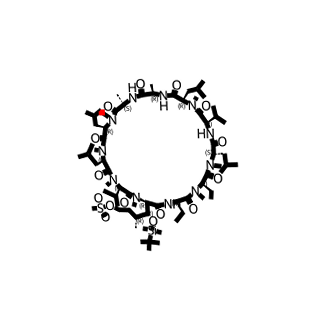 CC[C@@H]1C(=O)N(C)[C@@H](CC(C)C)C(=O)N[C@H](C(C)C)C(=O)N(C)[C@H](CC(C)C)C(=O)N[C@H](C)C(=O)N[C@@H](C)C(=O)N(C)[C@H](CC(C)C)C(=O)N(C)[C@H](CC(C)C)C(=O)N(C)[C@H](C(C)C)C(=O)N(C)[C@H]([C@H](O[Si](C)(C)C(C)(C)C)[C@H](C)CCOS(C)(=O)=O)C(=O)N[C@H](CC)C(=O)N1C